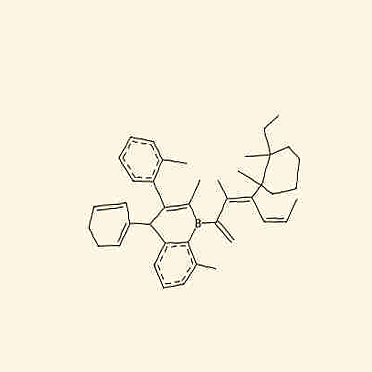 C=C(B1C(C)=C(c2ccccc2C)C(C2=CCCC=C2)c2cccc(C)c21)/C(C)=C(\C=C/C)C1(C)CCCCC1(C)CC